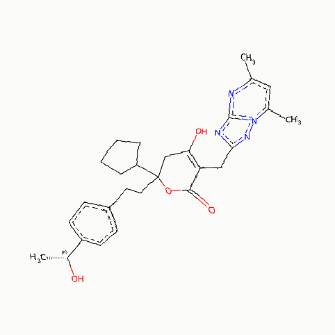 Cc1cc(C)n2nc(CC3=C(O)CC(CCc4ccc([C@@H](C)O)cc4)(C4CCCC4)OC3=O)nc2n1